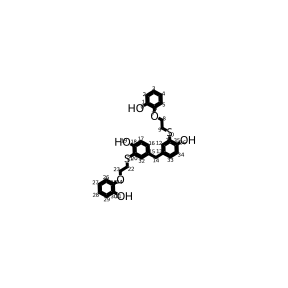 Oc1ccccc1OCCSc1cc(Cc2ccc(O)c(SCCOc3ccccc3O)c2)ccc1O